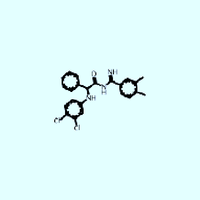 Cc1ccc(C(=N)NC(=O)C(Nc2ccc(Cl)c(Cl)c2)c2ccccc2)cc1C